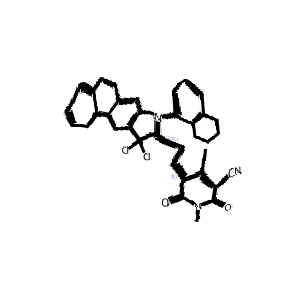 CC1=C(C#N)C(=O)N(C)C(=O)/C1=C/C=C1/N(c2cccc3c2CCCC3)c2cc3ccc4ccccc4c3cc2C1(Cl)Cl